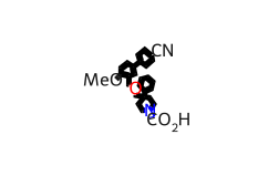 COc1ccc(-c2ccc(C#N)cc2)cc1COCC1(c2ccccc2)CCN(C(=O)O)CC1